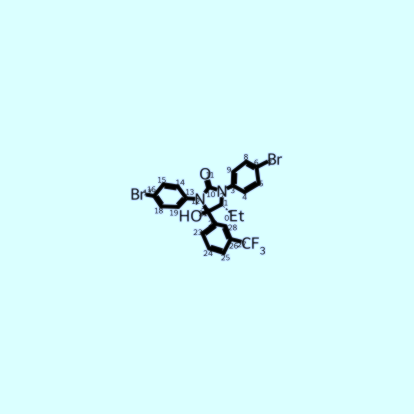 CC[C@H]1N(c2ccc(Br)cc2)C(=O)N(c2ccc(Br)cc2)C1(O)c1cccc(C(F)(F)F)c1